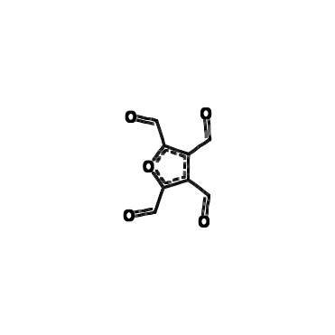 O=Cc1oc(C=O)c(C=O)c1C=O